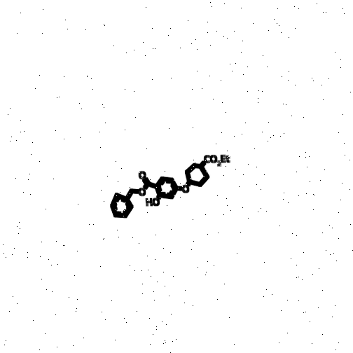 CCOC(=O)C1CCC(Oc2ccc(C(=O)OCc3ccccc3)c(O)c2)CC1